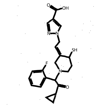 O=C(O)c1cnn(CC=C2CN(C(C(=O)C3CC3)c3ccccc3F)CCC2S)c1